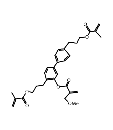 C=C(C)C(=O)OCCCc1ccc(-c2ccc(CCCOC(=O)C(=C)C)c(OC(=O)C(=C)COC)c2)cc1